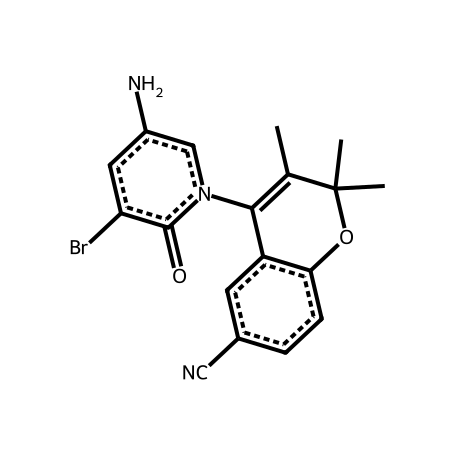 CC1=C(n2cc(N)cc(Br)c2=O)c2cc(C#N)ccc2OC1(C)C